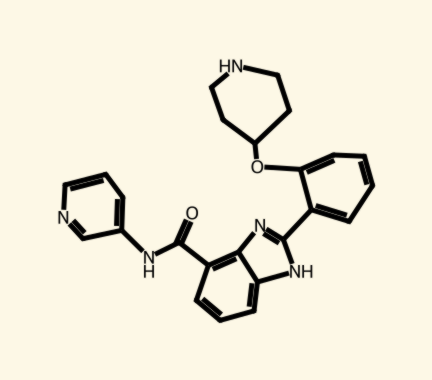 O=C(Nc1cccnc1)c1cccc2[nH]c(-c3ccccc3OC3CCNCC3)nc12